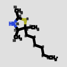 [CH2]CCCCCC1(C)SC(C)NC1C